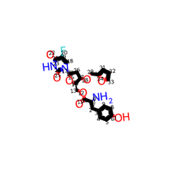 N[C@H](Cc1ccc(O)cc1)C(=O)OC[C@H]1O[C@@H](n2cc(F)c(=O)[nH]c2=O)CC1OCc1ccco1